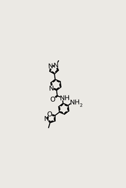 Cc1cc(-c2ccc(N)c(NC(=O)c3ccc(-c4cnn(C)c4)cn3)c2)on1